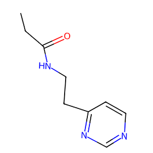 CCC(=O)NCCc1ccncn1